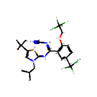 CC(C)Cn1cc(C(C)(C)C)s/c1=N\C(=NC#N)c1cc(C(F)(F)F)ccc1OCC(F)(F)F